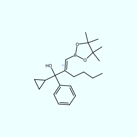 CCCC/C(=C\B1OC(C)(C)C(C)(C)O1)C(O)(c1ccccc1)C1CC1